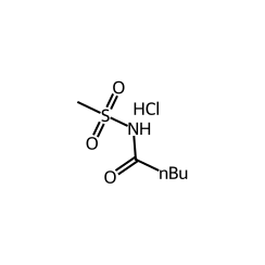 CCCCC(=O)NS(C)(=O)=O.Cl